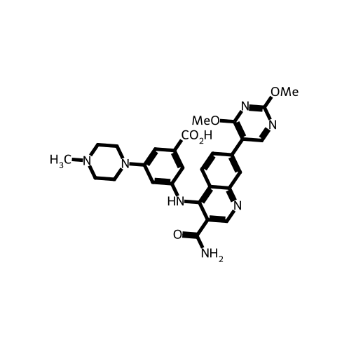 COc1ncc(-c2ccc3c(Nc4cc(C(=O)O)cc(N5CCN(C)CC5)c4)c(C(N)=O)cnc3c2)c(OC)n1